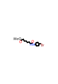 COC(=O)CCCCCCC(=O)Nc1ccc(CBr)cc1